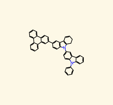 C1=Cc2c(n(-c3ccc4c(c3)c3ccccc3n4-c3ccccc3)c3ccc(-c4ccc5c6ccccc6c6ccccc6c5c4)cc23)CC1